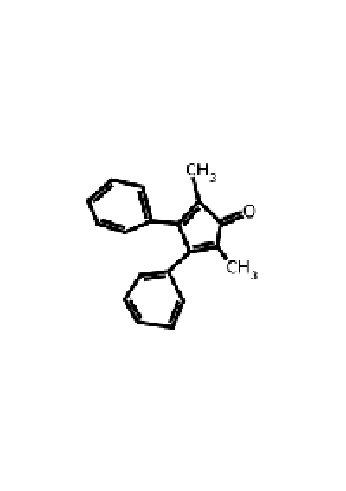 CC1=C(c2ccccc2)C(c2ccccc2)=C(C)C1=O